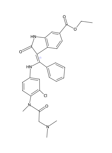 CCOC(=O)c1ccc2c(c1)NC(=O)/C2=C(\Nc1ccc(N(C)C(=O)CN(C)C)c(Cl)c1)c1ccccc1